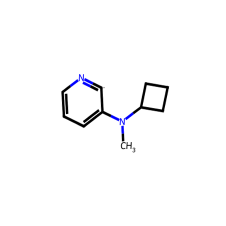 CN(c1[c]nccc1)C1CCC1